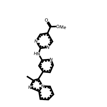 COC(=O)c1cnc(Nc2cc(-c3c(C)nc4ccccn34)ccn2)nc1